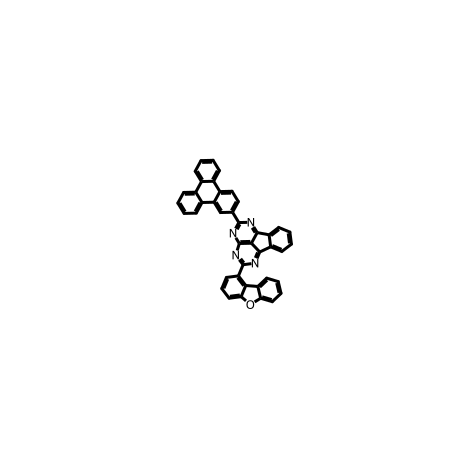 c1ccc2c(c1)-c1nc(-c3ccc4c5ccccc5c5ccccc5c4c3)nc3nc(-c4cccc5oc6ccccc6c45)nc-2c13